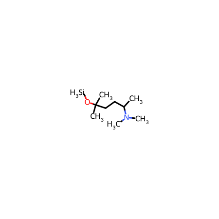 CC(CCC(C)(C)O[SiH3])N(C)C